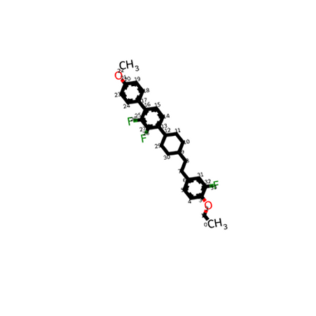 CCOc1ccc(CCC2CCC(c3ccc(-c4ccc(OC)cc4)c(F)c3F)CC2)cc1F